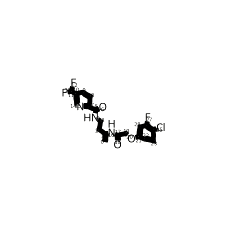 C=C(CCNC(=O)c1ccc(C(F)F)cn1)NC(=O)COc1ccc(Cl)c(F)c1